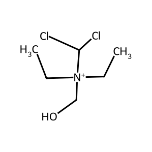 CC[N+](CC)(CO)C(Cl)Cl